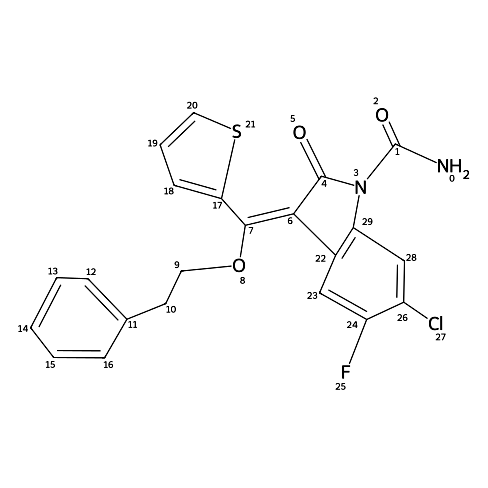 NC(=O)N1C(=O)C(=C(OCCc2ccccc2)c2cccs2)c2cc(F)c(Cl)cc21